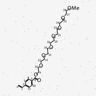 C=Cc1ccc(C(=O)OCCOCCOCCOCCOCCOCCOCCOC)cc1